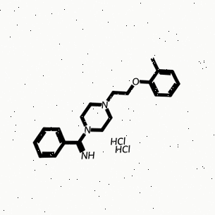 Cc1ccccc1OCCN1CCN(C(=N)c2ccccc2)CC1.Cl.Cl